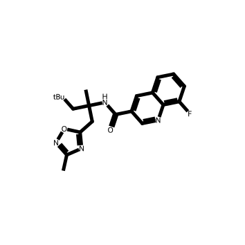 Cc1noc(CC(C)(CC(C)(C)C)NC(=O)c2cnc3c(F)cccc3c2)n1